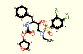 CC(C)CN(CC(O)[C@H](Cc1ccccc1)NC(=O)O[C@H]1CCOC1)S(=O)(=O)c1ccc(Cl)c(Cl)c1